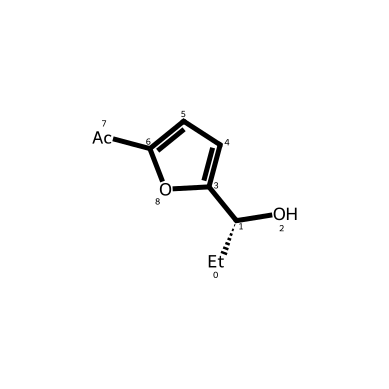 CC[C@@H](O)c1ccc(C(C)=O)o1